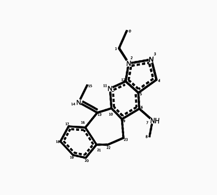 CCn1ncc2c(NC)c3c(nc21)C(=NC)c1ccccc1CC3